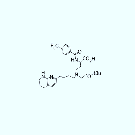 CC(C)(C)OCCN(CCCCc1ccc2c(n1)NCCC2)CCC(NC(=O)c1ccc(C(F)(F)F)cc1)C(=O)O